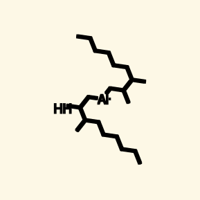 CCCCCCC(C)C(C)[CH2][Al][CH2]C(C)C(C)CCCCCC.[HH]